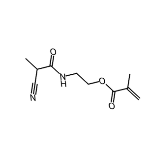 C=C(C)C(=O)OCCNC(=O)C(C)C#N